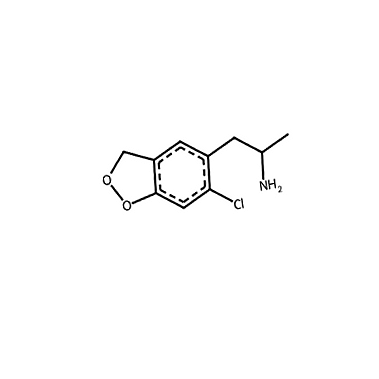 CC(N)Cc1cc2c(cc1Cl)OOC2